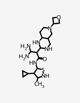 CC1NSC(NC(=O)C(C(N)N)C2NCC3CN(C4COC4)CCC3N2)C1C1CC1